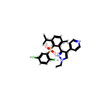 CCn1cc(-c2ccncc2)c(-c2c(C)[c]cc(C(C)C)c2S(=O)(=O)c2cc(F)ccc2F)n1